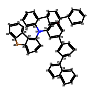 c1ccc(-c2ccc(-c3ccccc3N(c3cccc(-c4cccc(-c5cccc6ccccc56)c4)c3)c3cccc4sc5ccccc5c34)cc2)cc1